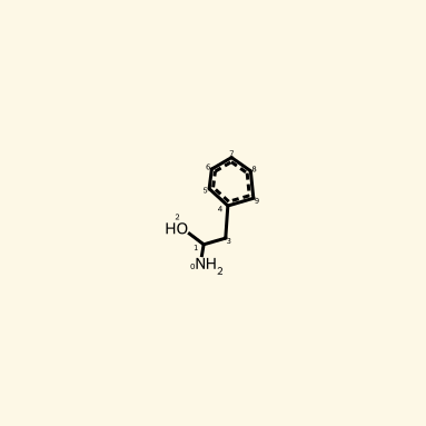 NC(O)Cc1ccccc1